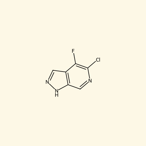 Fc1c(Cl)ncc2[nH]ncc12